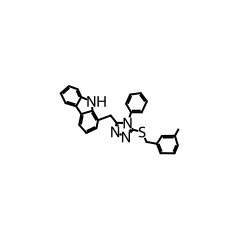 Cc1cccc(CSc2nnc(Cc3cccc4c3[nH]c3ccccc34)n2-c2ccccc2)c1